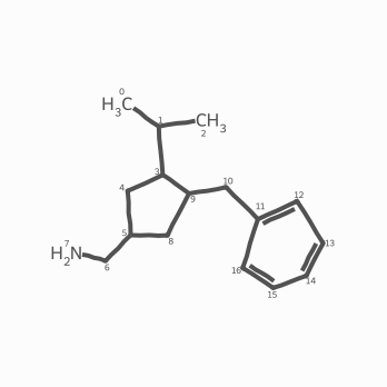 CC(C)C1CC(CN)CC1Cc1ccccc1